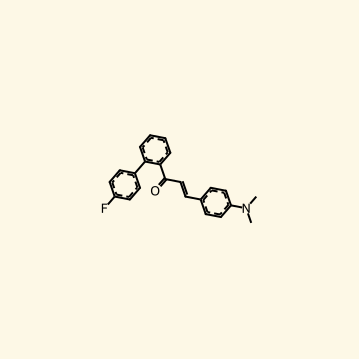 CN(C)c1ccc(C=CC(=O)c2ccccc2-c2ccc(F)cc2)cc1